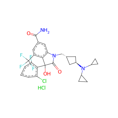 Cl.NC(=O)c1cc2c(c(C(F)(F)F)c1)C(O)(c1c(F)cccc1Cl)C(=O)N2C[C@H]1C[C@H](N(C2CC2)C2CC2)C1